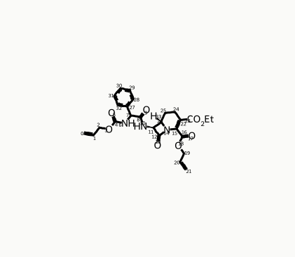 C=CCOC(=O)NC(C(=O)N[C@@H]1C(=O)N2C(C(=O)OCC=C)=C(C(=O)OCC)CC[C@@H]12)c1ccccc1